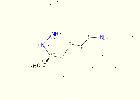 N=N[C@@H](CCCCN)C(=O)O